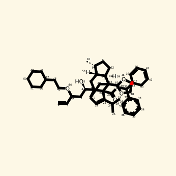 C=CC(C[C@@H](O)C12C[C@@H]3[C@H](C)CC[C@H]3C3(C4OCCO4)CC1C=C(C(C)C)C23C(=O)OC(c1ccccc1)C1C=CC=CC1)OCCC1CCCCC1